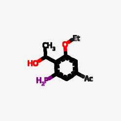 CCOc1cc(C(C)=O)cc(P)c1C(C)O